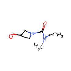 CN(C)C(=O)N1CC([O])C1